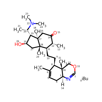 CC[C@H](C)C1=N[C@H]2CC=C(C)[C@@H](CC[C@@H]3[C@@H](C)C(=O)C[C@]4(C)[C@@H]([C@H](C)N(C)C)[C@H](O)C[C@@]34C)[C@]2(C)CO1